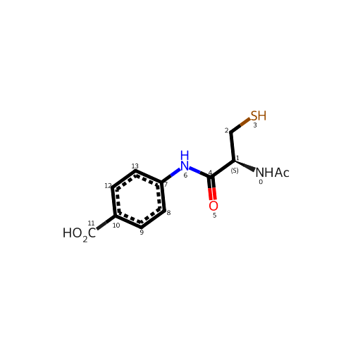 CC(=O)N[C@H](CS)C(=O)Nc1ccc(C(=O)O)cc1